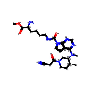 COC(=O)[C@@H](N)CCCCNC(=O)n1ccc2c(N(C)[C@H]3CN(C(=O)CC#N)CC[C@H]3C)ncnc21